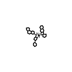 c1ccc(-c2ccc3c(-c4ccc5c(ccc6ccccc65)c4)nc(-n4c5ccccc5c5cc6ccccc6cc54)nc3c2)cc1